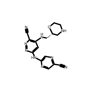 N#Cc1cnc(Nc2cc(NC[C@H]3CNCCO3)c(C#N)nn2)cn1